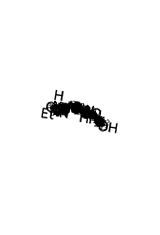 CCc1cc2ncc(CN3CCN(c4ccc(C(=O)N[C@H]5C[C@@](C)(O)C5)nc4)CC3)cc2[nH]c1=O